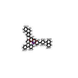 c1ccc(-c2ccccc2-c2c(-c3ccccc3)cccc2N(c2ccc(-c3ccc(-c4cccc5ccccc45)cc3)cc2)c2ccc(-c3ccc4c(ccc5ccccc54)c3)cc2)cc1